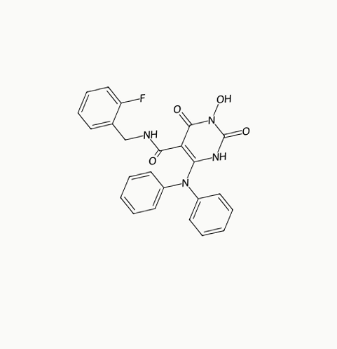 O=C(NCc1ccccc1F)c1c(N(c2ccccc2)c2ccccc2)[nH]c(=O)n(O)c1=O